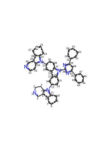 C1=NCCc2c1c1ccccc1n2-c1ccc2c(c1)c1cc(-n3c4ccccc4c4cnccc43)ccc1n2-c1nc(-c2ccccc2)cc(-c2ccccc2)n1